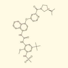 COc1c(NC(=O)Nc2ccc(Oc3ccnc(C(=O)N4CC[C@@H](N(C)C)C4)c3)c3ccccc23)cc(C(C)(C)C)cc1NS(C)(=O)=O